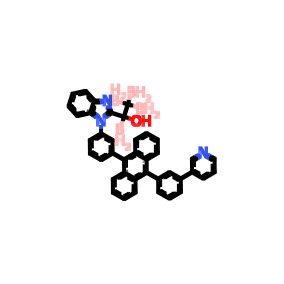 BC(B)(B)C(B)(O)c1nc2ccccc2n1-c1cccc(-c2c3ccccc3c(-c3cccc(-c4cccnc4)c3)c3ccccc23)c1